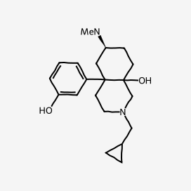 CN[C@H]1CCC2(O)CN(CC3CC3)CCC2(c2cccc(O)c2)C1